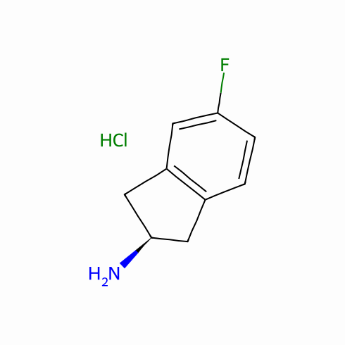 Cl.N[C@@H]1Cc2ccc(F)cc2C1